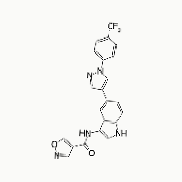 O=C(Nc1c[nH]c2ccc(-c3cnn(-c4ccc(C(F)(F)F)cc4)c3)cc12)c1cnoc1